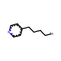 [2H]CCCCc1ccncc1